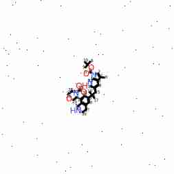 Cc1cn(C(=O)OC(C)(C)C)c2ncc(CC(C)(C)c3cc4c(c([C@@H]5COCCN5C(=O)O)c3)CNCC4)cc12